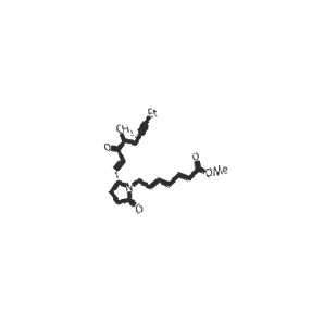 CCC#CCC(C)C(=O)C=C[C@H]1CCC(=O)N1CCCCCCC(=O)OC